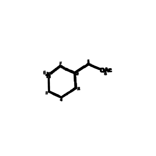 CC(=O)OCC1CCC[N]C1